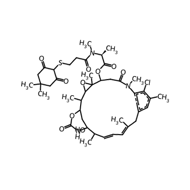 C/C1=C\C=C\C(C)C2(O)CC(OC(=O)N2)C(C)C2OC2(C)C(OC(=O)[C@H](C)N(C)C(=O)CCSC2C(=O)CC(C)(C)CC2=O)CC(=O)N(C)c2cc(cc(C)c2Cl)C1